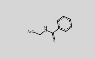 CC(=O)OCNC(=S)c1ccccc1